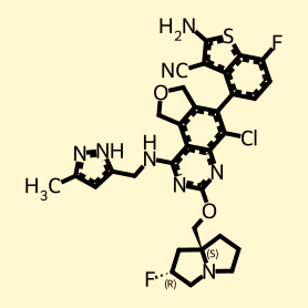 Cc1cc(CNc2nc(OC[C@@]34CCCN3C[C@H](F)C4)nc3c(Cl)c(-c4ccc(F)c5sc(N)c(C#N)c45)c4c(c23)COC4)[nH]n1